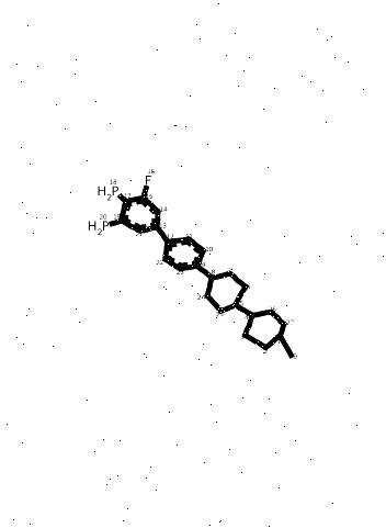 CC1CCC(C2CCC(c3ccc(-c4cc(F)c(P)c(P)c4)cc3)CC2)CC1